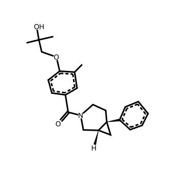 Cc1cc(C(=O)N2CC[C@]3(c4ccccc4)C[C@@H]3C2)ccc1OCC(C)(C)O